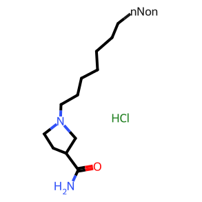 CCCCCCCCCCCCCCCCN1CCC(C(N)=O)C1.Cl